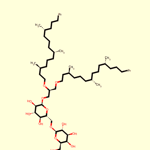 CC(C)CCC[C@@H](C)CCC[C@H](C)CCC[C@H](C)CCOC[C@@H](CO[C@H]1O[C@H](CO[C@@H]2O[C@H](CO)[C@H](O)[C@H](O)[C@H]2O)[C@@H](O)[C@H](O)[C@H]1O)OCC[C@@H](C)CCC[C@@H](C)CCC[C@H](C)CCCC(C)C